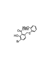 COC(=O)c1c(CSc2ccccc2OC)ccc(Br)c1O